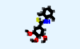 COc1cc(C(=S)Nc2c(C)cccc2C)cc(OC)c1OC